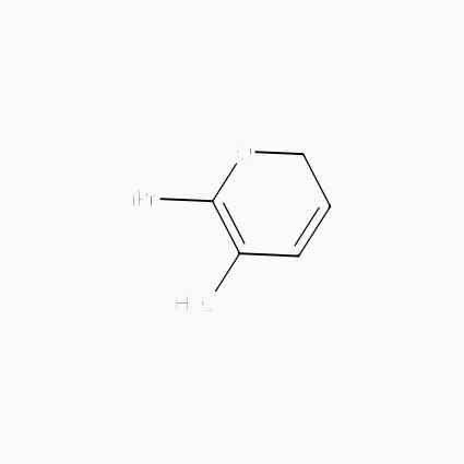 CC1=C(C(C)C)OCC=C1